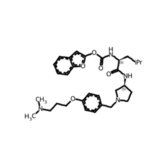 CC(C)C[C@H](NC(=O)Oc1cc2ccccc2o1)C(=O)N[C@H]1CCN(Cc2ccc(OCCCN(C)C)cc2)C1